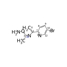 C=C(/N=C(/C)ON)c1ccc(Br)cn1